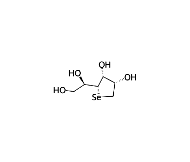 OC[C@@H](O)[C@H]1[Se]C[C@@H](O)[C@H]1O